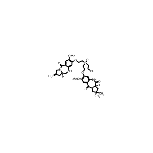 C=C1C[C@H]2CNc3cc(OCCP(=O)(CCO)CCOc4cc5c(cc4OC)C(=O)N4CC(C)(C)C[C@H]4C(=O)N5)c(OC)cc3C(=O)N2C1